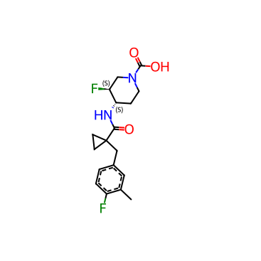 Cc1cc(CC2(C(=O)N[C@H]3CCN(C(=O)O)C[C@@H]3F)CC2)ccc1F